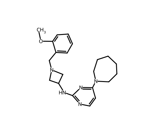 COc1ccccc1CN1CC(Nc2nccc(N3CCCCCC3)n2)C1